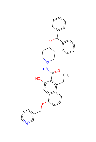 CCc1c(C(=O)NN2CCC(OC(c3ccccc3)c3ccccc3)CC2)c(O)cc2c(OCc3cccnc3)cccc12